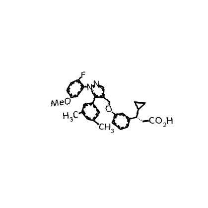 COc1ccc(F)c(-n2ncc(COc3cccc([C@@H](CC(=O)O)C4CC4)c3)c2-c2cc(C)cc(C)c2)c1